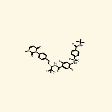 BC(=O)[C@H](CCc1ccc(-n2c(=O)ccn(C)c2=O)cc1)NC(=O)c1cc(F)c(NS(=O)(=O)c2ccc(C(=O)NC(C)(C)C)cc2)cc1F